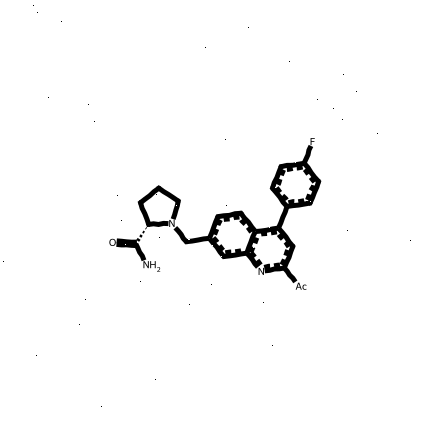 CC(=O)c1cc(-c2ccc(F)cc2)c2ccc(CN3CCC[C@H]3C(N)=O)cc2n1